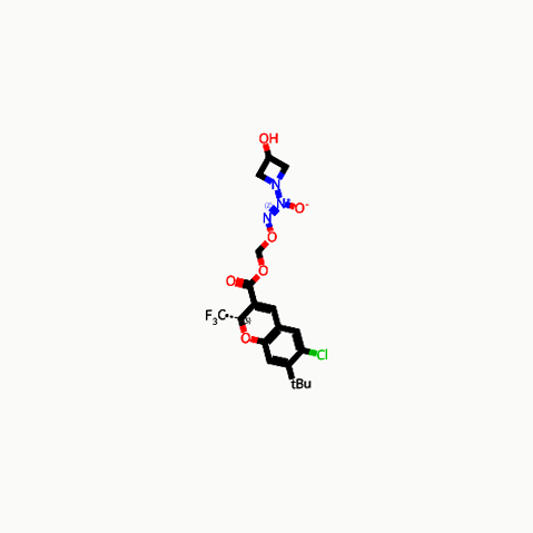 CC(C)(C)c1cc2c(cc1Cl)C=C(C(=O)OCO/N=[N+](\[O-])N1CC(O)C1)[C@@H](C(F)(F)F)O2